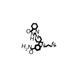 CN(C)CCCN1CC2(CCN(c3nc4c(c(=O)[nH]3)CCCC4)CC2)c2cc(C(N)=O)ccc21